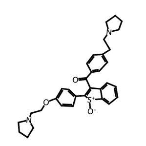 O=C(c1ccc(CCN2CCCC2)cc1)c1c(-c2ccc(OCCN3CCCC3)cc2)[s+]([O-])c2ccccc12